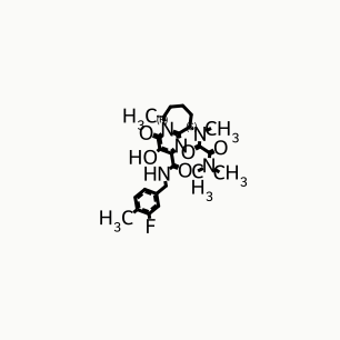 Cc1ccc(CNC(=O)c2nc3n(c(=O)c2O)[C@H](C)CCC[C@@H]3N(C)C(=O)C(=O)N(C)C)cc1F